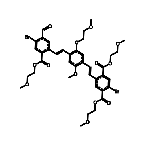 COCCOC(=O)c1cc(/C=C/c2cc(OCCOC)c(/C=C/c3cc(C=O)c(Br)cc3C(=O)OCCOC)cc2OC)c(C(=O)OCCOC)cc1Br